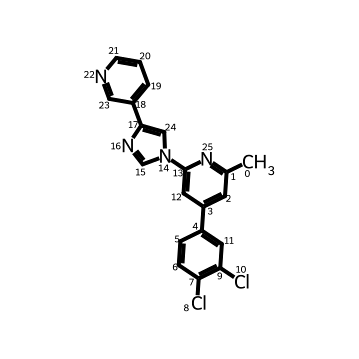 Cc1cc(-c2ccc(Cl)c(Cl)c2)cc(-n2cnc(-c3cccnc3)c2)n1